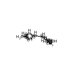 CNCC(=O)ON1OC(=O)CNCCN(CC(=O)NCCCCCC(=O)NNc2ccc(C(=O)N[C@H](C)C(=O)N3CCC[C@H]3B(O)O)cn2)CCN(I)CC(=O)O1